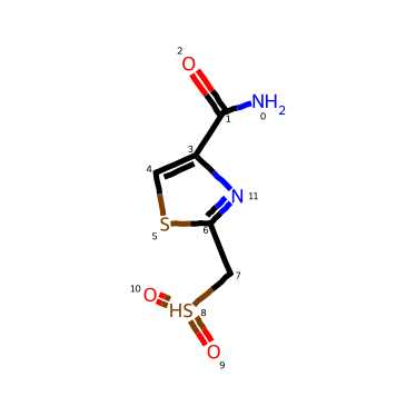 NC(=O)c1csc(C[SH](=O)=O)n1